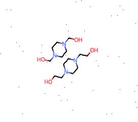 OCCN1CCN(CCO)CC1.OCN1CCN(CO)CC1